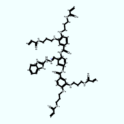 C=CC(=O)OCCCOc1ccc(C(=O)Oc2ccc(OC(=O)c3ccc(OCCCOC(=O)C=C)c(OCCCOC(=O)C=C)c3)c(/C=N/Nc3nc4ccccc4s3)c2)cc1OCCCOC(=O)C=C